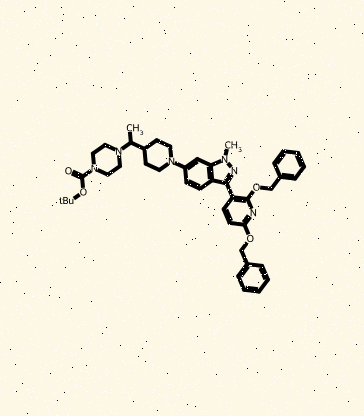 CC(C1CCN(c2ccc3c(-c4ccc(OCc5ccccc5)nc4OCc4ccccc4)nn(C)c3c2)CC1)N1CCN(C(=O)OC(C)(C)C)CC1